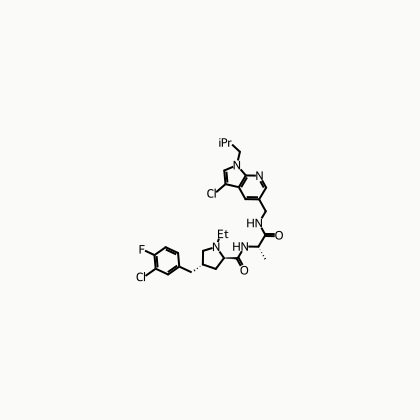 CCN1C[C@@H](Cc2ccc(F)c(Cl)c2)C[C@@H]1C(=O)N[C@@H](C)C(=O)NCc1cnc2c(c1)c(Cl)cn2CC(C)C